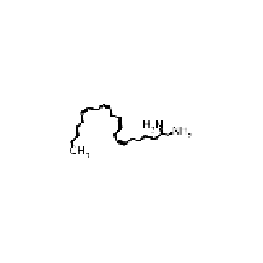 CCCCC/C=C\C/C=C\C/C=C\C/C=C\CCCCC(N)CN